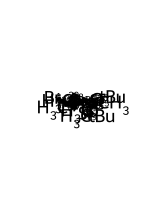 C[C@H](CCBr)[C@H]1CC[C@H]2C(=CC=C3C[C@@H](O[Si](C)(C)C(C)(C)C)C[C@H](O[Si](C)(C)C(C)(C)C)C3)CCC[C@]12C